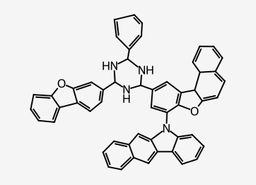 C1=CC2=CC=C3Oc4c(cc(C5NC(c6ccccc6)NC(c6ccc7c(c6)oc6ccccc67)N5)cc4-n4c5ccccc5c5cc6ccccc6cc54)C3C2C=C1